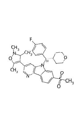 CC1=C(c2cnc3c4ccc(S(C)(=O)=O)cc4n([C@H](c4ccc(F)cc4)C4CCOCC4)c3c2)C(C)N(C)O1